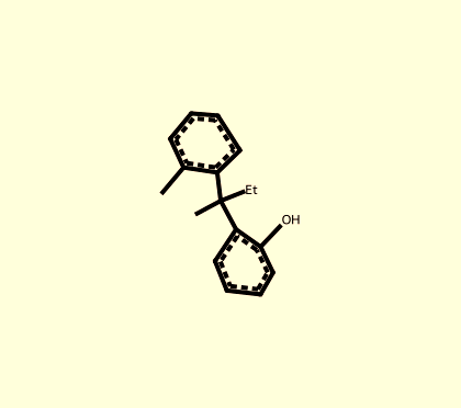 CCC(C)(c1ccccc1C)c1ccccc1O